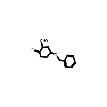 O=CC1CC(OCc2ccccc2)CCC1=O